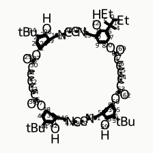 CCC(CC)C(C)(C)c1cc2cc(c1O)/C=N/CC/N=C/c1cc(cc(C(C)(C)C)c1O)OC(=O)CCCCCC(=O)Oc1cc(c(O)c(C(C)(C)C)c1)/C=N/CC/N=C/c1cc(cc(C(C)(C)C)c1O)OC(=O)CCCCCC(=O)O2